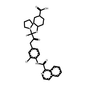 O=C(Nc1ccc(CC(=O)C(F)(OC2CCC(C(=O)O)CC2)N2CCCC2)cc1Cl)c1nccc2ccccc12